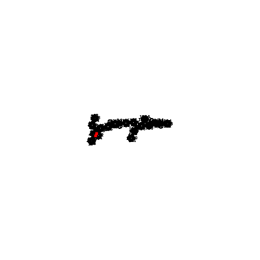 c1ccc(-c2ccc(N(c3cccc(-c4ccc(-c5nc6cc7oc8cc(-c9ccc(N(c%10ccc(-c%11ccccc%11)cc%10)c%10cccc(-c%11ccccc%11)c%10)c(-c%10ccccc%10)c9)ccc8c7cc6o5)cc4)c3)c3ccc(-c4ccc5c(c4)oc4cc6nc(-c7ccccc7)oc6cc45)c(-c4ccccc4)c3)cc2)cc1